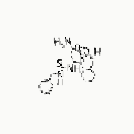 NC(=O)CC(NC(=S)NCc1ccccc1)C1C2CCCCC2CCN1C(=O)O